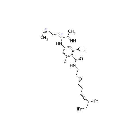 C/C=C\C/C=C(\Nc1cc(C)c(C(=O)NCCOCCC=C=C(CC(C)C)C(C)C)c(F)c1)C(C)=N